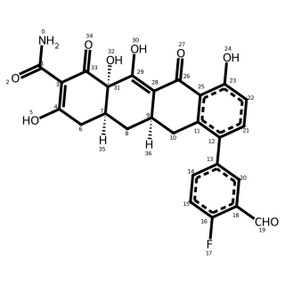 NC(=O)C1=C(O)C[C@@H]2C[C@@H]3Cc4c(-c5ccc(F)c(C=O)c5)ccc(O)c4C(=O)C3=C(O)[C@]2(O)C1=O